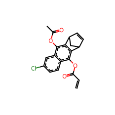 C=CC(=O)Oc1c2c(c(OC(C)=O)c3cc(Cl)ccc13)C1C=CC2C1